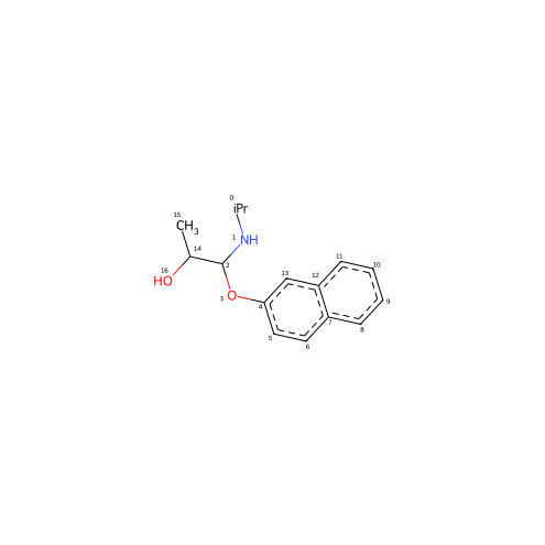 CC(C)NC(Oc1ccc2ccccc2c1)C(C)O